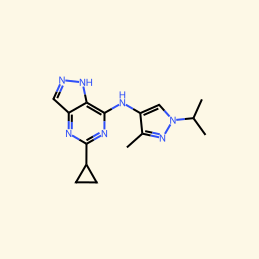 Cc1nn(C(C)C)cc1Nc1nc(C2CC2)nc2cn[nH]c12